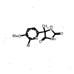 COc1ccc(C2(C)NC(=O)NC2=O)nc1Br